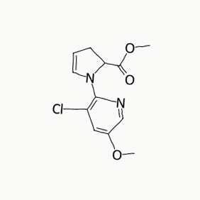 COC(=O)C1CC=CN1c1ncc(OC)cc1Cl